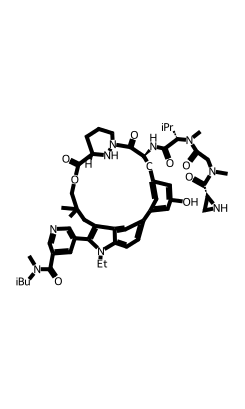 CCC(C)N(C)C(=O)c1cncc(-c2c3c4cc(ccc4n2CC)-c2cc(O)cc(c2)C[C@H](NC(=O)[C@H](C(C)C)N(C)C(=O)CN(C)C(=O)[C@H]2CN2)C(=O)N2CCC[C@H](N2)C(=O)OCC(C)(C)C3)c1